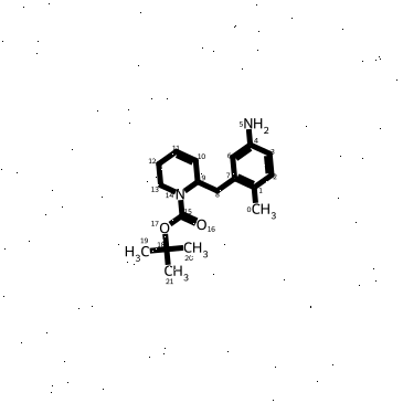 Cc1ccc(N)cc1CC1C=CCCN1C(=O)OC(C)(C)C